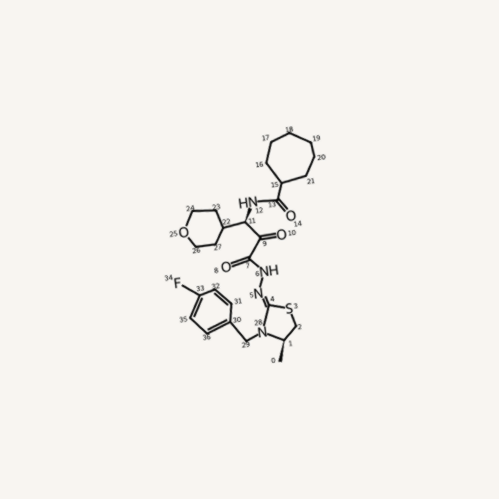 C[C@@H]1CSC(=NNC(=O)C(=O)[C@H](NC(=O)C2CCCCCC2)C2CCOCC2)N1Cc1ccc(F)cc1